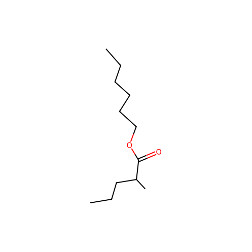 CCCCCCOC(=O)C(C)CCC